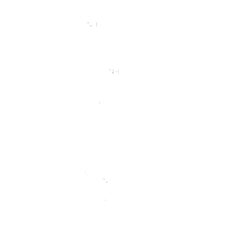 CC(C)(N)CNC(=O)CC(C)(C)CCO[N+](=O)[O-]